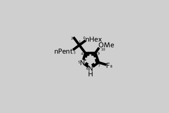 CCCCCCC(C)(CCCCC)c1n[nH]c(F)c1OC